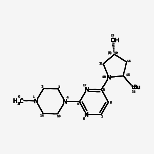 CN1CCN(c2nccc(N3C[C@H](O)CC3C(C)(C)C)n2)CC1